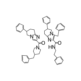 O=C(NCCc1ccccc1)c1nc2n(c1Cc1ccccc1)CC(c1ccccc1)CC2.O=C(c1cn2c(n1)CCC(c1ccccc1)C2)N1CCC(Cc2ccccc2)CC1